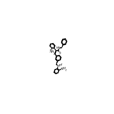 Nc1ccccc1NCc1cccc(C=C(C(=O)NCc2ccccc2)c2ccccc2N)c1